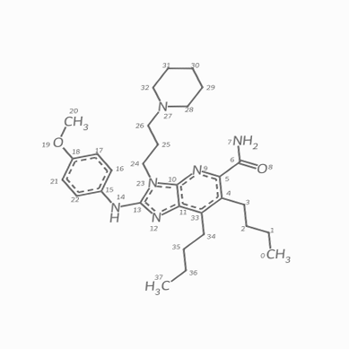 CCCCc1c(C(N)=O)nc2c(nc(Nc3ccc(OC)cc3)n2CCCN2CCCCC2)c1CCCC